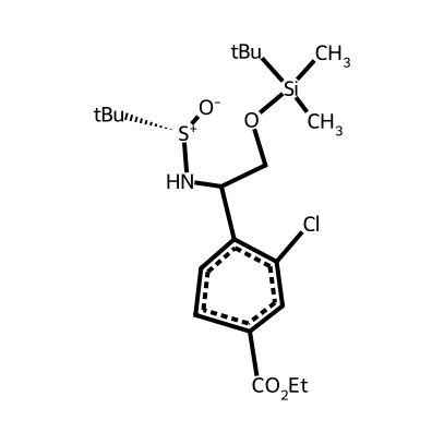 CCOC(=O)c1ccc(C(CO[Si](C)(C)C(C)(C)C)N[S@@+]([O-])C(C)(C)C)c(Cl)c1